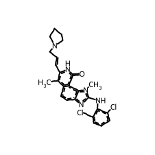 Cc1c(/C=C/CN2CCCC2)[nH]c(=O)c2c1ccc1nc(Nc3c(Cl)cccc3Cl)n(C)c12